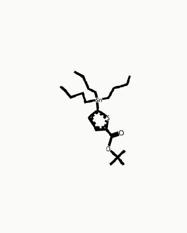 CCC[CH2][Sn]([CH2]CCC)([CH2]CCC)[c]1ccc(C(=O)OC(C)(C)C)s1